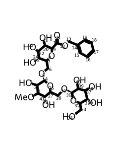 COC1C(O)[C@H](OCC2OC(C(=O)OCc3ccccc3)C(O)C(O)[C@H]2O)OC(CO[C@@H]2OC(CO)[C@H](O)C(O)C2O)[C@@H]1O